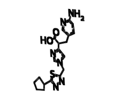 Nc1ccc(CC(C(=O)O)c2cn(Cc3nnc(C4CCCC4)s3)cn2)cn1